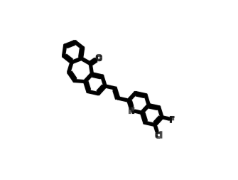 O=c1c2ccccc2ccc2ccc(/C=C/c3ccc4cc(F)c(Cl)cc4n3)cc12